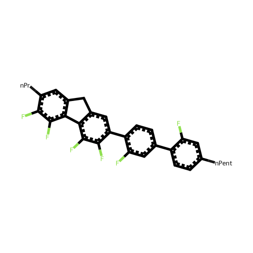 CCCCCc1ccc(-c2ccc(-c3cc4c(c(F)c3F)-c3c(cc(CCC)c(F)c3F)C4)c(F)c2)c(F)c1